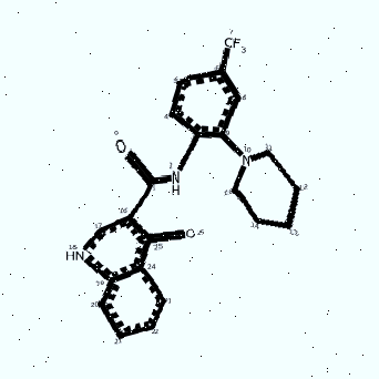 O=C(Nc1ccc(C(F)(F)F)cc1N1CCCCC1)c1c[nH]c2ccccc2c1=O